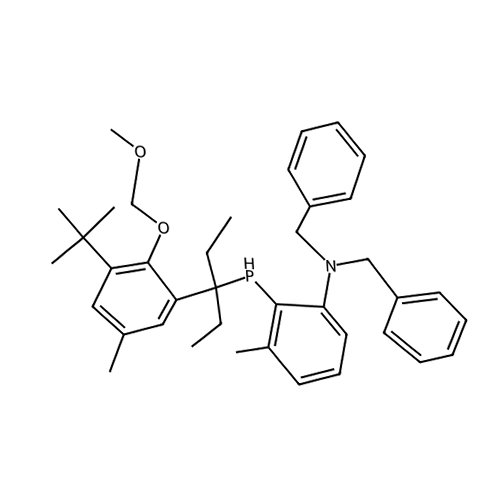 CCC(CC)(Pc1c(C)cccc1N(Cc1ccccc1)Cc1ccccc1)c1cc(C)cc(C(C)(C)C)c1OCOC